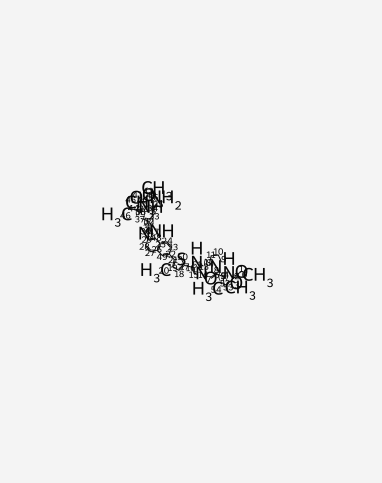 COC(=O)N[C@H](C(=O)N1CCC[C@H]1c1ncc(-c2cc(C)c(-c3ccc4c(ccc5nc([C@H](CCCN)C[C@@H](NC(=O)OC)C(C)C)[nH]c54)c3)s2)[nH]1)C(C)C